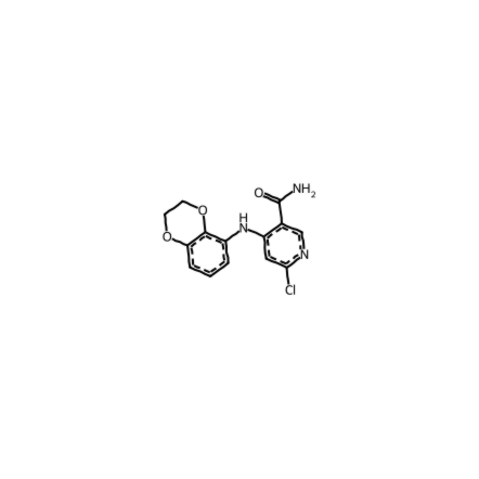 NC(=O)c1cnc(Cl)cc1Nc1cccc2c1OCCO2